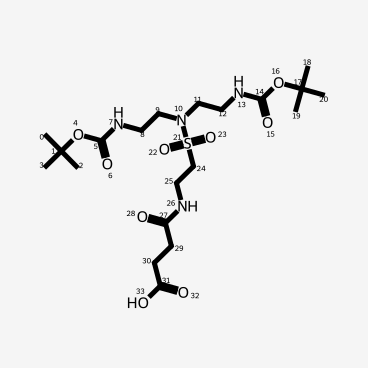 CC(C)(C)OC(=O)NCCN(CCNC(=O)OC(C)(C)C)S(=O)(=O)CCNC(=O)CCC(=O)O